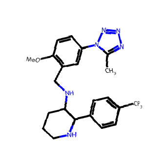 COc1ccc(-n2nnnc2C)cc1CNC1CCCNC1c1ccc(C(F)(F)F)cc1